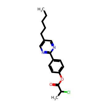 CCCCCc1cnc(-c2ccc(OC(=O)C(C)Cl)cc2)nc1